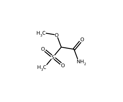 COC(C(N)=O)S(C)(=O)=O